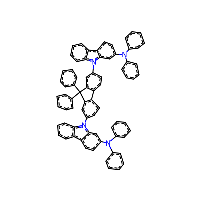 c1ccc(N(c2ccccc2)c2ccc3c4ccccc4n(-c4ccc5c(c4)C(c4ccccc4)(c4ccccc4)c4cc(-n6c7ccccc7c7ccc(N(c8ccccc8)c8ccccc8)cc76)ccc4-5)c3c2)cc1